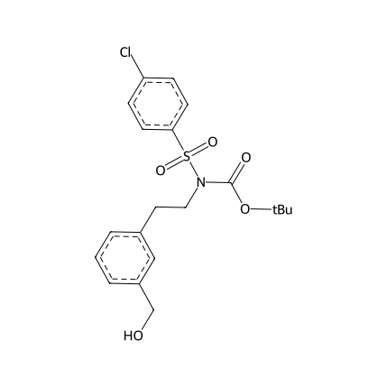 CC(C)(C)OC(=O)N(CCc1cccc(CO)c1)S(=O)(=O)c1ccc(Cl)cc1